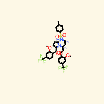 COc1cc(C(F)(F)F)ccc1C(=O)/C=C(/C=C\NS(=O)(=O)c1ccc(C)cc1)n1cccc1C(O)c1ccc(C(F)(F)F)cc1OC